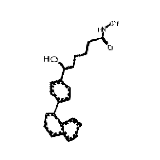 O=C(CCCCC(O)c1ccc(-c2cccc3ccccc23)cc1)NO